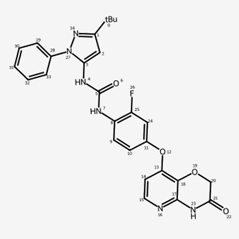 CC(C)(C)c1cc(NC(=O)Nc2ccc(Oc3ccnc4c3OCC(=O)N4)cc2F)n(-c2ccccc2)n1